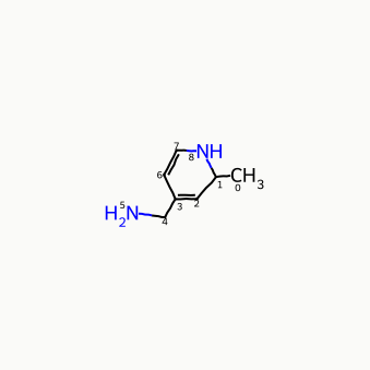 CC1C=C(CN)C=CN1